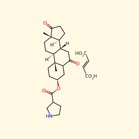 C[C@]12CC[C@H](OC(=O)C3CCNC3)CC1C(=O)C[C@@H]1[C@@H]2CC[C@]2(C)C(=O)CC[C@@H]12.O=C(O)/C=C/C(=O)O